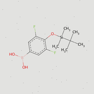 CC(C)(C)[Si](C)(C)Oc1c(F)cc(B(O)O)cc1F